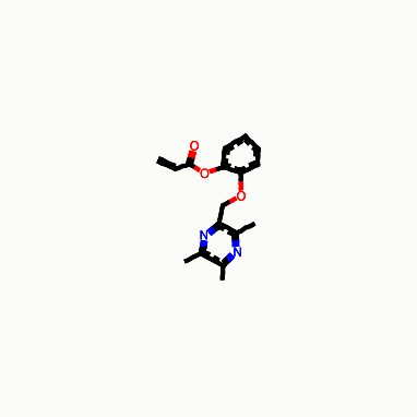 C=CC(=O)Oc1ccccc1OCc1nc(C)c(C)nc1C